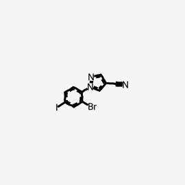 N#Cc1cnn(-c2ccc(I)cc2Br)c1